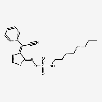 CCCCCCCCNS(=O)(=O)O/N=C1\SC=C\C1=C(\C#N)c1ccccc1